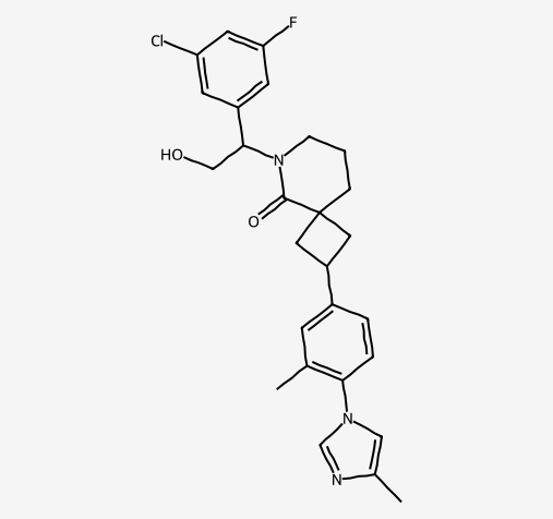 Cc1cn(-c2ccc(C3CC4(CCCN(C(CO)c5cc(F)cc(Cl)c5)C4=O)C3)cc2C)cn1